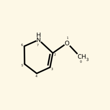 COC1=CCCCN1